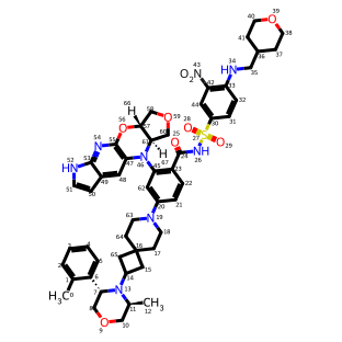 Cc1ccccc1[C@H]1COC[C@H](C)N1C1CC2(CCN(c3ccc(C(=O)NS(=O)(=O)c4ccc(NCC5CCOCC5)c([N+](=O)[O-])c4)c(N4c5cc6cc[nH]c6nc5O[C@@H]5COC[C@H]54)c3)CC2)C1